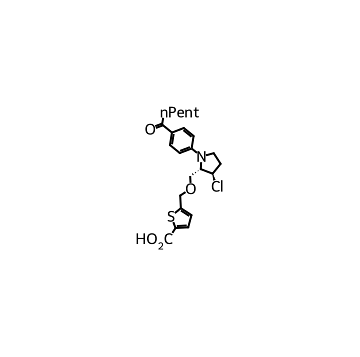 CCCCCC(=O)c1ccc(N2CC[C@@H](Cl)[C@@H]2COCc2ccc(C(=O)O)s2)cc1